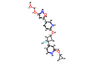 COCOc1cc(-c2ccc(OC3CC(F)(c4ccnc(OC5CC5)c4)C3)nc2)on1